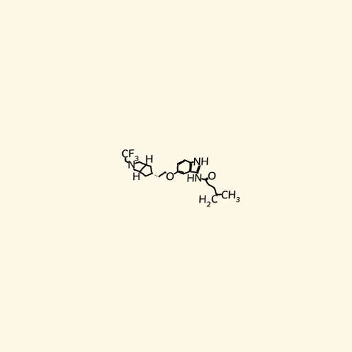 C=C(C)CCC(=O)Nc1c[nH]c2ccc(OCC[C@@H]3C[C@@H]4CN(CC(F)(F)F)C[C@@H]4C3)cc12